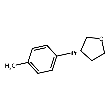 C1CCOC1.Cc1ccc(C(C)C)cc1